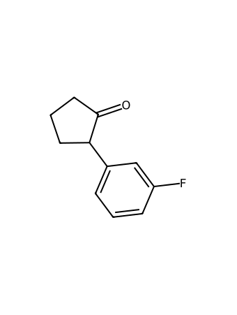 O=C1CCCC1c1cccc(F)c1